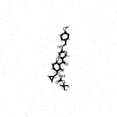 COc1ccc(CNc2cnc(C(=O)c3c(Cl)ccc([C@H](NC(=O)OC(C)(C)C)C4CC4)c3F)cn2)cc1